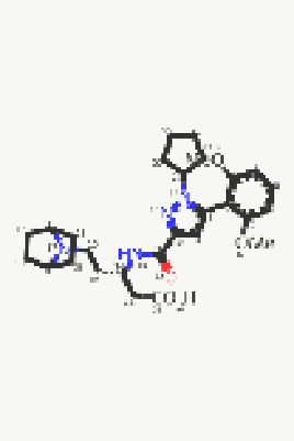 COc1cccc(OC)c1-c1cc(C(=O)N[C@@H](CCN2C3CCC2CC3)CC(=O)O)nn1C1CCCC1